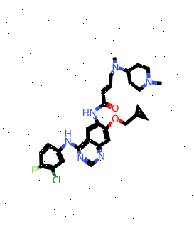 CN1CCC(N(C)C/C=C/C(=O)Nc2cc3c(Nc4ccc(F)c(Cl)c4)ncnc3cc2OCC2CC2)CC1